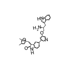 Cc1cc(/C=C2\C(=O)Nc3ccc(-c4cncc(OC[C@@H](N)Cc5c[nH]c6ccccc56)c4)cc32)oc1C